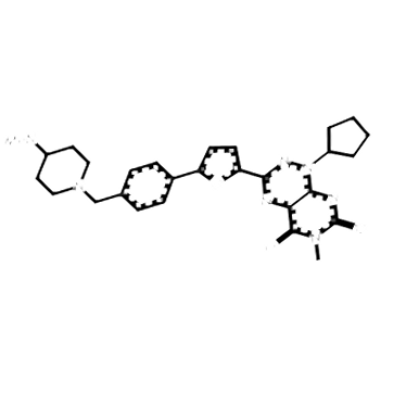 CNC1CCN(Cc2ccc(-c3ccc(-c4nc5c(=O)n(C)c(=O)nc-5n(C5CCCC5)n4)o3)cc2)CC1